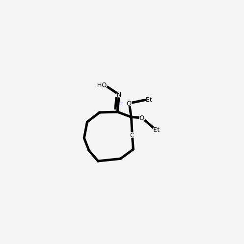 CCOC1(OCC)CCCCCCCC/C1=N\O